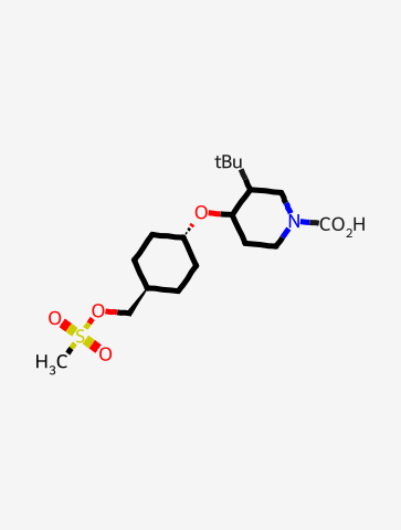 CC(C)(C)C1CN(C(=O)O)CCC1O[C@H]1CC[C@H](COS(C)(=O)=O)CC1